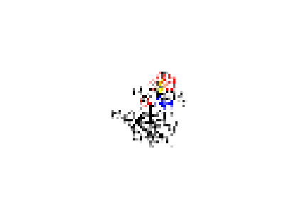 CCC(C)(C)CC(C)(C(=O)NC(C)(C)S(=O)(=O)O)C(C)(C)CC